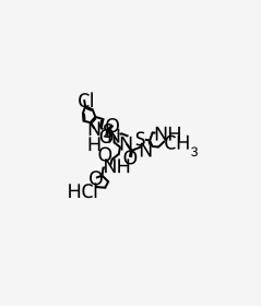 CC1Cc2nc(C(=O)N3CCN(S(=O)(=O)c4cc5cc(Cl)ccc5[nH]4)CC3CC(=O)NCC3CCCO3)sc2CN1.Cl